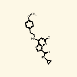 COc1ccc(CCNc2cc(Cl)nn3c(C(=O)NC4CC4)cnc23)cc1